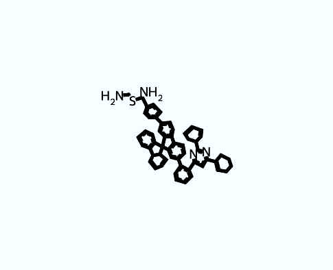 NCSC(N)c1ccc(-c2ccc3c(c2)C2(c4cc(-c5ccccc5-c5cc(C6=CCCCC6)nc(C6C=CC=CC6)n5)ccc4-3)c3ccccc3C3C=CC=CC32)cc1